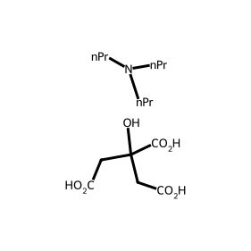 CCCN(CCC)CCC.O=C(O)CC(O)(CC(=O)O)C(=O)O